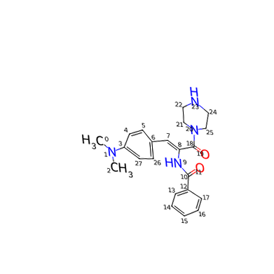 CN(C)c1ccc(C=C(NC(=O)c2ccccc2)C(=O)N2CCNCC2)cc1